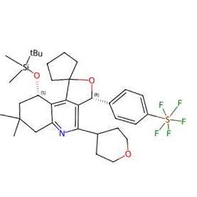 CC1(C)Cc2nc(C3CCOCC3)c3c(c2[C@@H](O[Si](C)(C)C(C)(C)C)C1)C1(CCCC1)O[C@@H]3c1ccc(S(F)(F)(F)(F)F)cc1